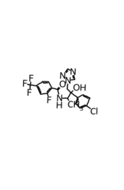 CC(NC(=O)c1ccc(C(F)(F)F)cc1F)C(O)(Cn1cncn1)c1ccc(Cl)cc1